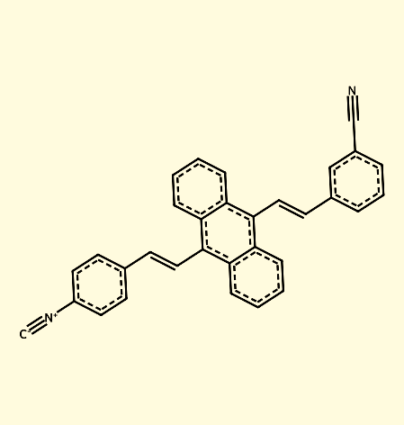 [C-]#[N+]c1ccc(C=Cc2c3ccccc3c(C=Cc3cccc(C#N)c3)c3ccccc23)cc1